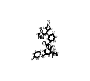 C[C@H]1CCCN(Cc2cc(C(F)(F)F)c3cn(-c4cccc([C@@H](c5nncn5C)C5CN(C)C5)c4)c(=O)n3c2)C1